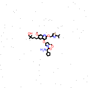 COc1cc2nc(OCc3csc(C(C)C)n3)cc(O[C@@H]3C[C@@H](C=O)N(C(=O)[C@@H](N)C4CCCC4)C3)c2cc1CCCC(C)(C)CO